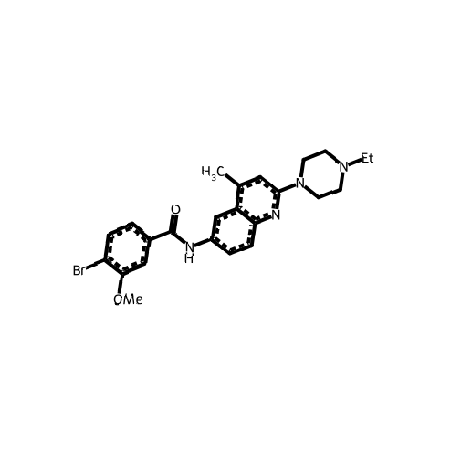 CCN1CCN(c2cc(C)c3cc(NC(=O)c4ccc(Br)c(OC)c4)ccc3n2)CC1